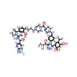 CCNC(=O)c1nnc(-c2cc(C(C)C)c(O)cc2O)n1-c1ccc(CN2CCN(C(=O)N3CCN(CCCOc4ccc5c(c4OC)N=C(NC(=O)c4cnc(N)nc4)N4CCN=C54)CC3)CC2)cc1